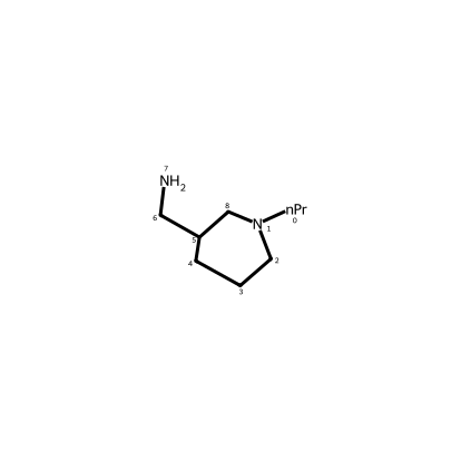 CCCN1CCCC(CN)C1